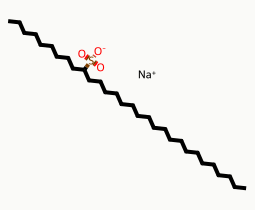 CCCCCCCCCCCCCCCCCCCCC(CCCCCCCCC)S(=O)(=O)[O-].[Na+]